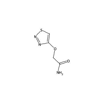 NC(=O)COc1csnn1